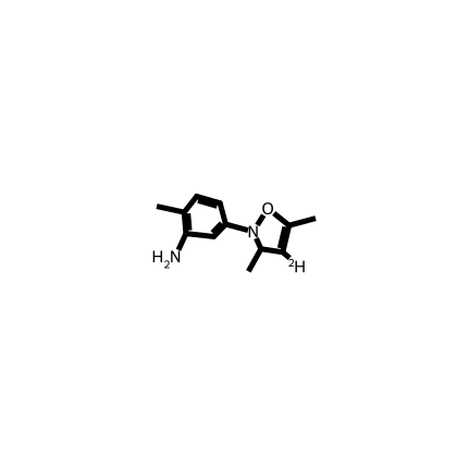 [2H]C1=C(C)ON(c2ccc(C)c(N)c2)C1C